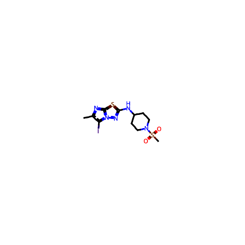 Cc1nc2sc(NC3CCN(S(C)(=O)=O)CC3)nn2c1I